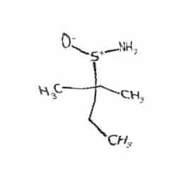 CCC(C)(C)[S+](N)[O-]